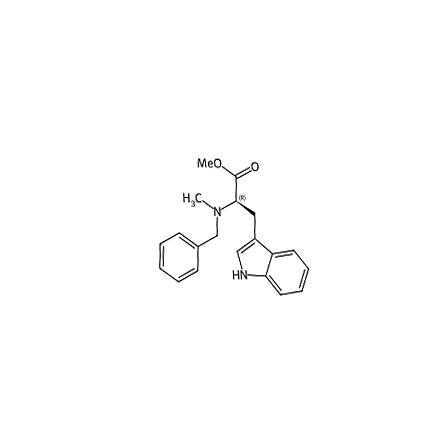 COC(=O)[C@@H](Cc1c[nH]c2ccccc12)N(C)Cc1ccccc1